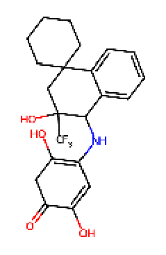 O=C1CC(O)=C(NC2c3ccccc3C3(CCCCC3)CC2(O)C(F)(F)F)C=C1O